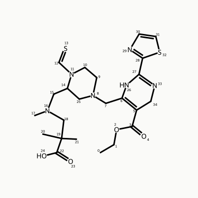 CCOC(=O)C1=C(CN2CCN(C=S)C(CN(C)CC(C)(C)C(=O)O)C2)NC(c2nccs2)=NC1